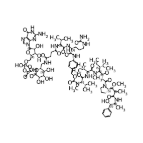 CC[C@H](C)[C@@H]([C@@H](CC(=O)N1CCC[C@H]1[C@H](OC)[C@@H](C)C(=O)N[C@H](C)[C@@H](O)c1ccccc1)OC)N(C)C(=O)[C@@H](NC(=O)[C@H](C(C)C)N(C)C(=O)OCc1ccc(NC(=O)[C@H](CCCNC(N)=O)NC(=O)[C@@H](NC(=O)CCC(=O)NCC2O[C@H](OP(=O)(O)OP(=O)(O)OC[C@H]3O[C@@H](n4cnc5c(=O)[nH]c(N)nc54)C(O)C3O)C(O)C(O)[C@@H]2O)C(C)C)cc1)C(C)C